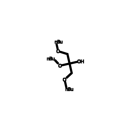 CCCCOCC(O)(COCCCC)OCCCC